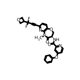 CN1C(=O)[C@@H](NC(=O)c2cc(Oc3ccccc3)ccn2)COc2ccc(C#CC(F)(F)C3COC3)nc21